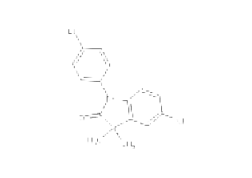 CCc1ccc(N2C(=O)C(C)(C)c3cc(Cl)ccc32)cc1